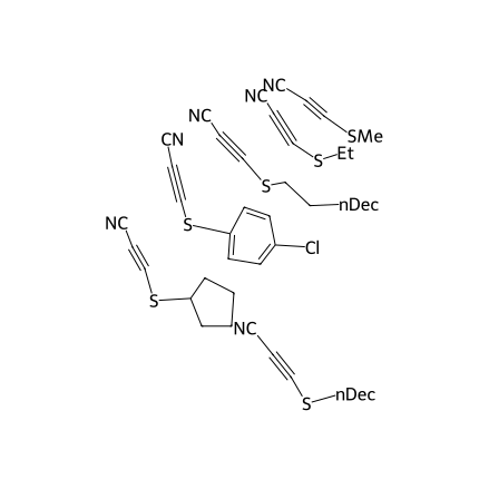 CCCCCCCCCCCCSC#CC#N.CCCCCCCCCCSC#CC#N.CCSC#CC#N.CSC#CC#N.N#CC#CSC1CCCC1.N#CC#CSc1ccc(Cl)cc1